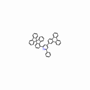 c1ccc(-c2cc(-c3ccc4c5ccccc5c5ccccc5c4c3)cc(-c3cccc4c3-c3ccccc3C43c4ccccc4-c4ccccc43)n2)cc1